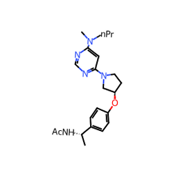 CCCN(C)c1cc(N2CC[C@@H](Oc3ccc([C@H](C)NC(C)=O)cc3)C2)ncn1